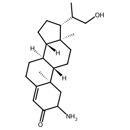 CC(CO)[C@H]1CC[C@H]2[C@@H]3CCC4=CC(=O)C(N)C[C@]4(C)[C@H]3CC[C@]12C